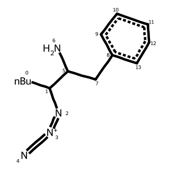 CCCCC(N=[N+]=[N-])C(N)Cc1ccccc1